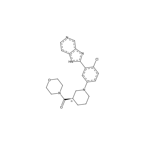 O=C([C@@H]1CCCN(c2ccc(Cl)c(-c3nc4cnccc4[nH]3)c2)C1)N1CCOCC1